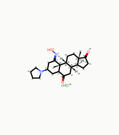 C[C@]12C(=NO)CC(N3CCCC3)CC1C(=O)C[C@@H]1[C@H]2CC[C@]2(C)C(=O)CC[C@@H]12.Cl